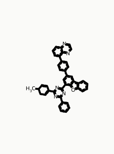 CC1C=CC(c2nc(-c3ccccc3)nc(-c3cc(-c4ccc(-c5cccc6nccnc56)cc4)cc4c3oc3ccccc34)n2)=CC1